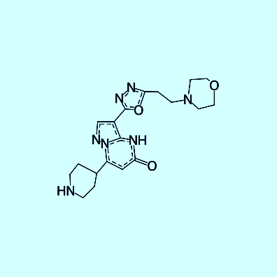 O=c1cc(C2CCNCC2)n2ncc(-c3nnc(CCN4CCOCC4)o3)c2[nH]1